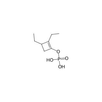 CCC1=C(OP(=O)(O)O)CC1CC